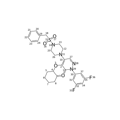 O=c1c(OC2CCCCC2)c(N2CCN(S(=O)(=O)Cc3ccccc3)CC2)cnn1-c1cc(F)cc(F)c1